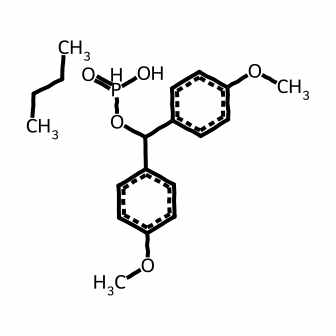 CCCC.COc1ccc(C(O[PH](=O)O)c2ccc(OC)cc2)cc1